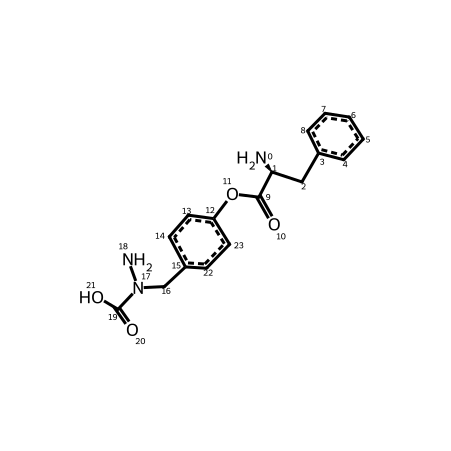 N[C@@H](Cc1ccccc1)C(=O)Oc1ccc(CN(N)C(=O)O)cc1